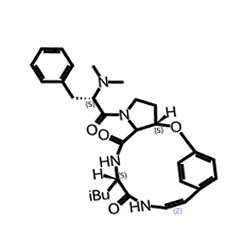 CCC(C)[C@@H]1NC(=O)C2[C@H](CCN2C(=O)[C@H](Cc2ccccc2)N(C)C)Oc2ccc(cc2)/C=C\NC1=O